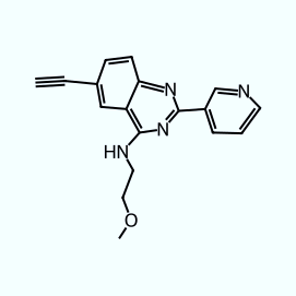 C#Cc1ccc2nc(-c3cccnc3)nc(NCCOC)c2c1